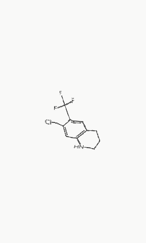 FC(F)(F)c1cc2c(cc1Cl)NCCC2